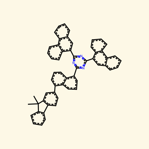 CC1(C)c2ccccc2-c2ccc(-c3cccc4c(-c5nc(-c6cc7ccccc7c7ccccc67)nc(-c6cc7ccccc7c7ccccc67)n5)cccc34)cc21